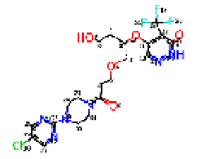 O=C(CCOC[C@H](CCO)Oc1cn[nH]c(=O)c1C(F)(F)F)N1CCN(c2ncc(Cl)cn2)CC1